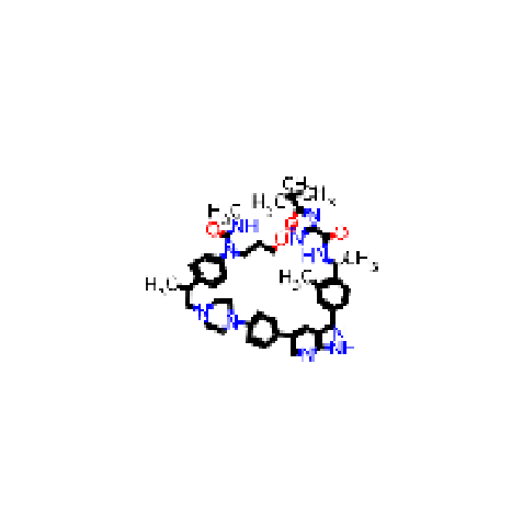 CNC(=O)N(CCC=O)c1ccc(C(C)CN2CCN(c3ccc(-c4cnc5[nH]nc(-c6ccc([C@@H](C)NC(=O)c7noc(C(C)(C)C)n7)c(C)c6)c5c4)cc3)CC2)cc1